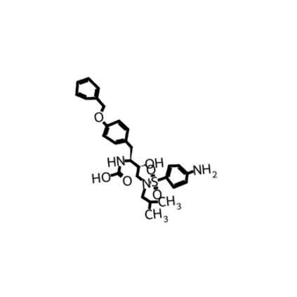 CC(C)CN(C[C@@H](O)[C@H](Cc1ccc(OCc2ccccc2)cc1)NC(=O)O)S(=O)(=O)c1ccc(N)cc1